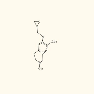 COc1cc2c(cc1OCC1CO1)CCN(C=O)C2